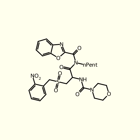 CCCCCN(C(=O)c1nc2ccccc2o1)C(=O)C(CS(=O)(=O)Cc1ccccc1[N+](=O)[O-])NC(=O)N1CCOCC1